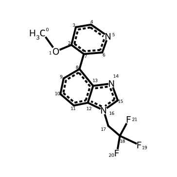 COc1ccncc1-c1cccc2c1ncn2CC(F)(F)F